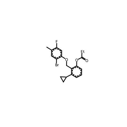 CCC(=O)Oc1cccc(C2CC2)c1COc1cc(F)c(C)cc1Br